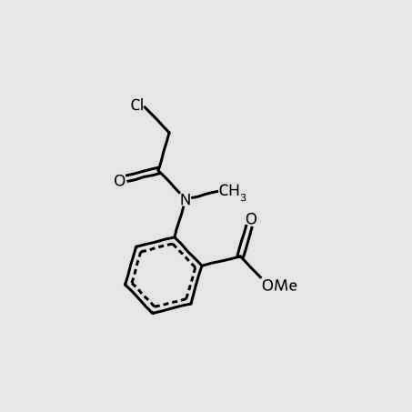 COC(=O)c1ccccc1N(C)C(=O)CCl